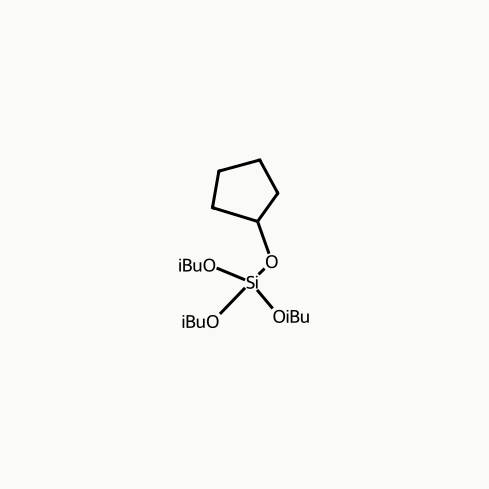 CC(C)CO[Si](OCC(C)C)(OCC(C)C)OC1CCCC1